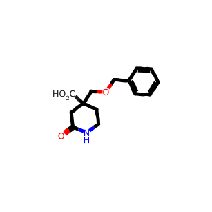 O=C1CC(COCc2ccccc2)(C(=O)O)CCN1